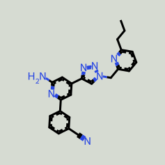 CCCc1cccc(Cn2cc(-c3cc(N)nc(-c4cccc(C#N)c4)c3)nn2)n1